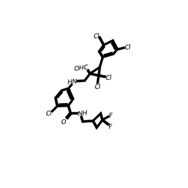 O=CC1(CNc2ccc(Cl)c(C(=O)NCC3CC(F)(F)C3)c2)C(c2cc(Cl)cc(Cl)c2)C1(Cl)Cl